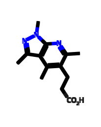 Cc1nc2c(c(C)nn2C)c(C)c1CCC(=O)O